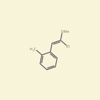 CC/C(=C\c1ccccc1C)OC